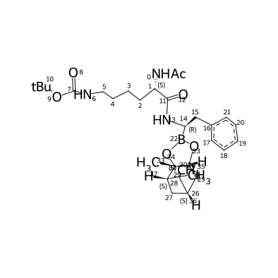 CC(=O)N[C@@H](CCCCNC(=O)OC(C)(C)C)C(=O)N[C@@H](Cc1ccccc1)B1O[C@@H]2C[C@@H]3C[C@@H](C3(C)C)[C@]2(C)O1